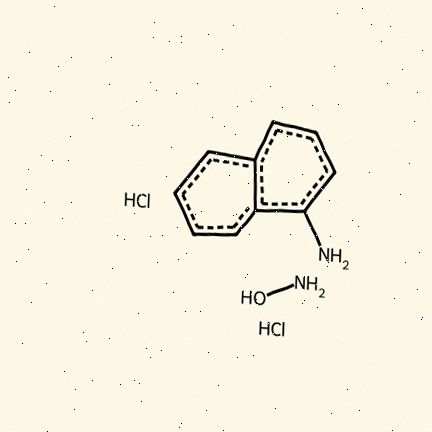 Cl.Cl.NO.Nc1cccc2ccccc12